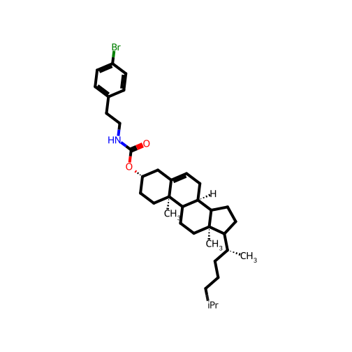 CC(C)CCC[C@@H](C)C1CCC2[C@@H]3CC=C4C[C@@H](OC(=O)NCCc5ccc(Br)cc5)CC[C@]4(C)C3CC[C@@]21C